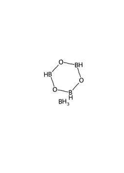 B.B1OBOBO1